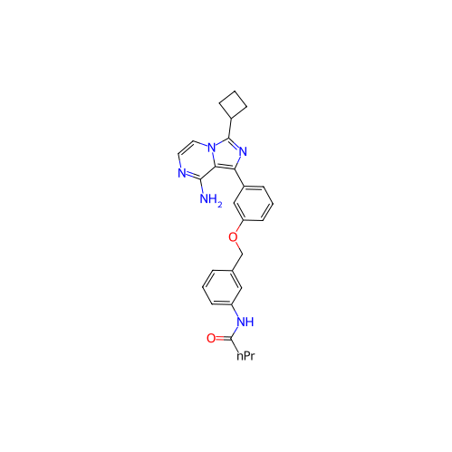 CCCC(=O)Nc1cccc(COc2cccc(-c3nc(C4CCC4)n4ccnc(N)c34)c2)c1